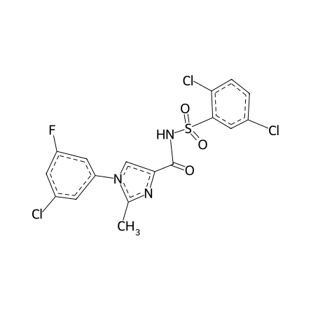 Cc1nc(C(=O)NS(=O)(=O)c2cc(Cl)ccc2Cl)cn1-c1cc(F)cc(Cl)c1